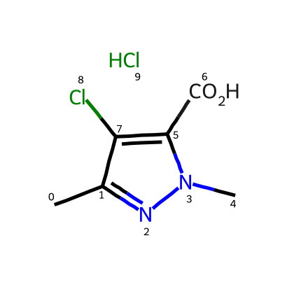 Cc1nn(C)c(C(=O)O)c1Cl.Cl